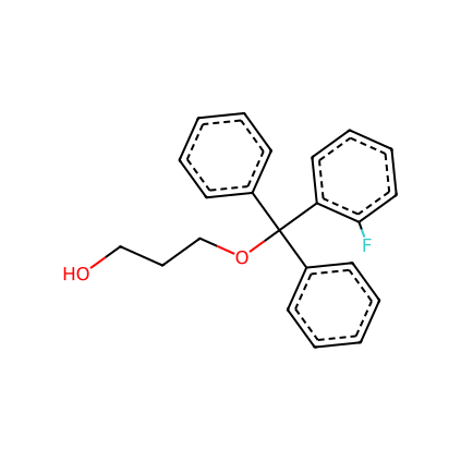 OCCCOC(c1ccccc1)(c1ccccc1)c1ccccc1F